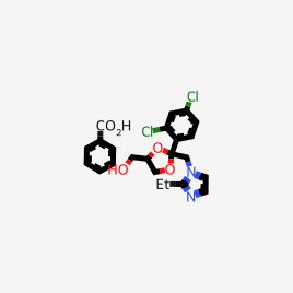 CCc1nccn1CC1(c2ccc(Cl)cc2Cl)OCC(CO)O1.O=C(O)c1ccccc1